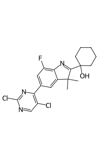 CC1(C)C(C2(O)CCCCC2)=Nc2c(F)cc(-c3nc(Cl)ncc3Cl)cc21